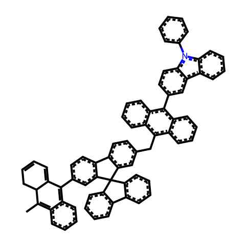 CC1=c2ccccc2=C(c2ccc3c(c2)C2(c4ccccc4-c4ccccc42)c2cc(Cc4c5ccccc5c(-c5ccc6c(c5)c5ccccc5n6-c5ccccc5)c5ccccc45)ccc2-3)C2=CC=CCC21